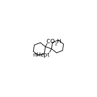 CCCCCCCC1(C2(C(=O)O)CCCCC2)CCCCC1